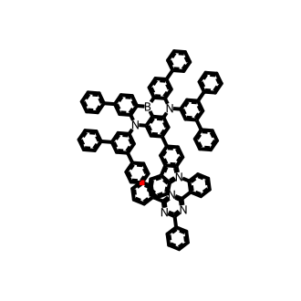 c1ccc(-c2cc(-c3ccccc3)cc(N3c4cc(-c5ccccc5)ccc4B4c5ccc(-c6ccccc6)cc5N(c5cc(-c6ccccc6)cc(-c6ccccc6)c5)c5cc(-c6ccc7c(c6)c6ccccc6n7-c6ccccc6-c6nc(-c7ccccc7)nc(-c7ccccc7)n6)cc3c54)c2)cc1